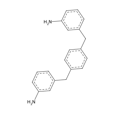 Nc1cccc(Cc2ccc(Cc3cccc(N)c3)cc2)c1